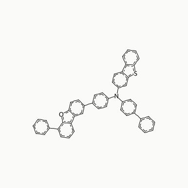 c1ccc(-c2ccc(N(c3ccc(-c4ccc5oc6c(-c7ccccc7)cccc6c5c4)cc3)c3ccc4c(c3)sc3ccccc34)cc2)cc1